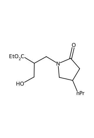 CCCC1CC(=O)N(CC(CO)C(=O)OCC)C1